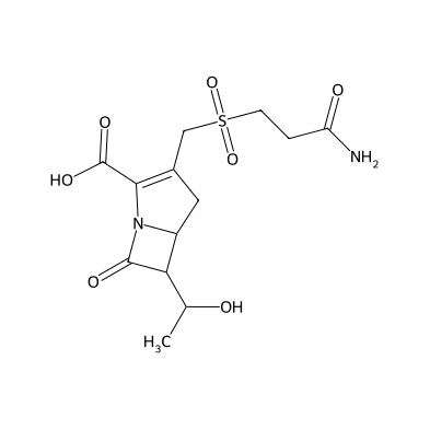 CC(O)C1C(=O)N2C(C(=O)O)=C(CS(=O)(=O)CCC(N)=O)CC12